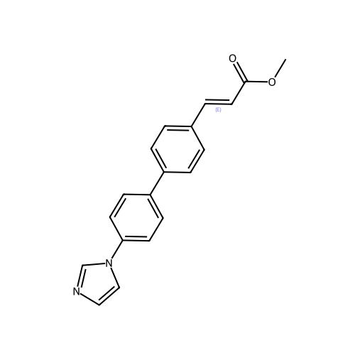 COC(=O)/C=C/c1ccc(-c2ccc(-n3ccnc3)cc2)cc1